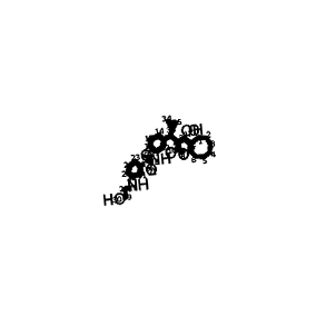 O=C1CCCCCc2oc(=O)c(C(c3cccc(NS(=O)(=O)c4cccc(NCCO)c4)c3)C3CC3)c(O)c21